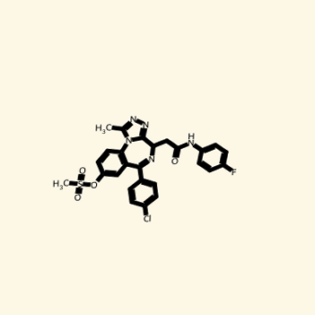 Cc1nnc2n1-c1ccc(OS(C)(=O)=O)cc1C(c1ccc(Cl)cc1)=NC2CC(=O)Nc1ccc(F)cc1